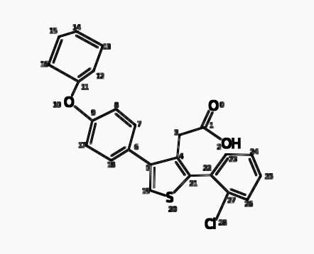 O=C(O)Cc1c(-c2ccc(Oc3ccccc3)cc2)csc1-c1ccccc1Cl